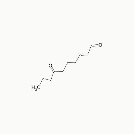 CCCC(=O)CCCC=CC=O